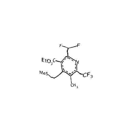 CCOC(=O)c1c(C(F)F)nc(C(F)(F)F)c(C)c1CSC